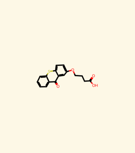 O=C(O)CCCOc1ccc2sc3ccccc3c(=O)c2c1